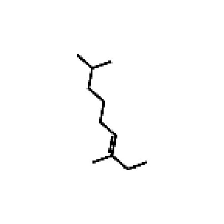 CCC(C)=CCCCC(C)C